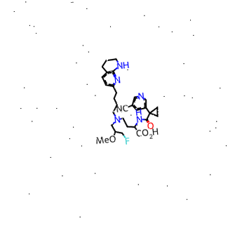 COC(CF)CN(CCCCc1ccc2c(n1)NCCC2)CCC(NC(=O)C1(c2cncc(C#N)c2)CC1)C(=O)O